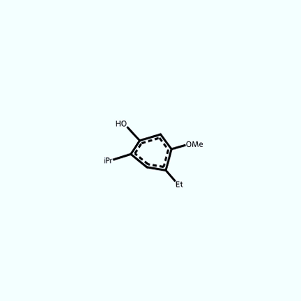 CCc1cc(C(C)C)c(O)cc1OC